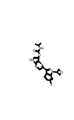 CC(C)NC(=O)Oc1c[nH]c2ncc(-c3nn(C4COC4)c4cc(F)ccc34)nc12